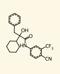 N#Cc1ccc(NC(=O)C(O)(Cc2ccccc2)C2CCCCC2)cc1C(F)(F)F